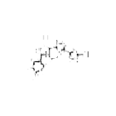 CC1c2nnc(-c3nc(Cl)ns3)n2CCN1C(=O)c1ccc(Cl)cc1